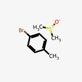 C[S+](C)[O-].Cc1ccc(Br)cc1